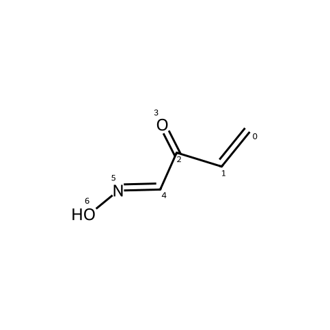 C=CC(=O)C=NO